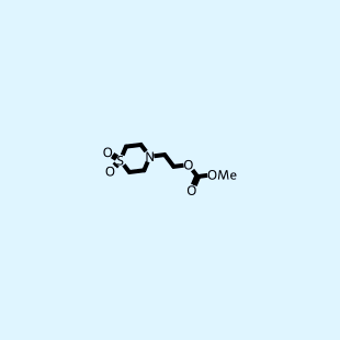 COC(=O)OCCN1CCS(=O)(=O)CC1